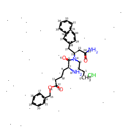 CCCCN(C(=O)[C@@H](N)CCCC(=O)OCc1ccccc1)[C@H](CC(N)=O)Cc1ccc2ccccc2c1.Cl